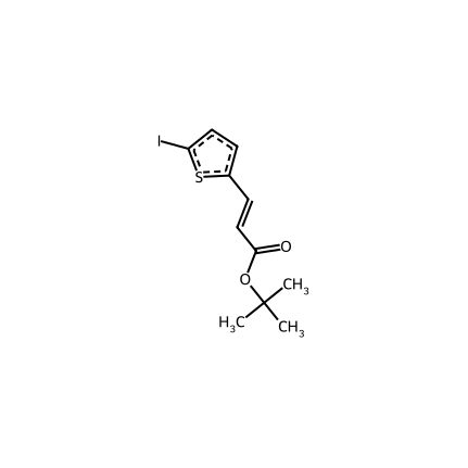 CC(C)(C)OC(=O)C=Cc1ccc(I)s1